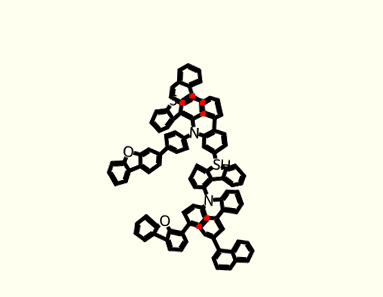 c1cc(-c2ccccc2N(c2ccc(-c3cccc4c3oc3ccccc34)cc2)c2cccc3c2-c2ccccc2[SH]3c2ccc(-c3cccc(-c4cccc5ccccc45)c3)c(N(c3ccc(-c4ccc5c(c4)oc4ccccc45)cc3)c3cccc4sc5ccccc5c34)c2)cc(-c2cccc3ccccc23)c1